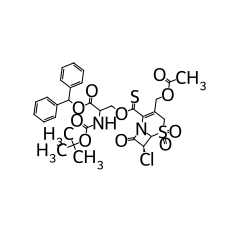 CC(=O)OCC1=C(C(=S)OCC(NC(=O)OC(C)(C)C)C(=O)OC(c2ccccc2)c2ccccc2)N2C(=O)[C@H](Cl)C2S(=O)(=O)C1